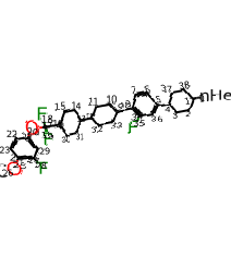 CCCCCCCC1CCC(c2ccc(C3CCC(C4CCC(C(F)(F)Oc5ccc(OC(F)(F)F)c(F)c5)CC4)CC3)c(F)c2)CC1